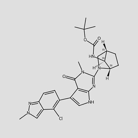 Cn1cc2c(Cl)c(-c3c[nH]c4nc(N5C[C@@H]6CC[C@H]5[C@H]6NC(=O)OC(C)(C)C)n(C)c(=O)c34)ccc2n1